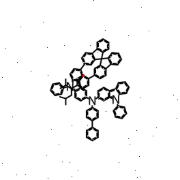 CC(C)CC(c1ccc(-c2ccc3c(c2)C2(c4ccccc4-3)c3ccccc3-c3ccc(-c4ccc5c(c4)c4cc(N(c6ccc(-c7ccccc7)cc6)c6ccc7c8ccccc8n(-c8ccccc8)c7c6)ccc4n5-c4ccccc4)cc32)cc1)C(C)C